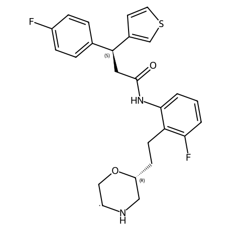 O=C(C[C@@H](c1ccc(F)cc1)c1ccsc1)Nc1cccc(F)c1CC[C@@H]1CN[CH]CO1